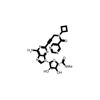 CNC(=O)[C@H]1O[C@@H](n2cnc3c(N)nc(C#CCN(C(=O)c4cncnc4)C4CCC4)nc32)[C@H](O)C1O